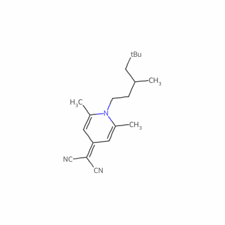 CC1=CC(=C(C#N)C#N)C=C(C)N1CCC(C)CC(C)(C)C